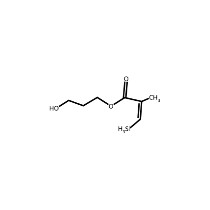 CC(=C[SiH3])C(=O)OCCCO